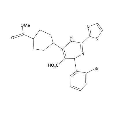 COC(=O)C1CCC(C2=C(C(=O)O)C(c3ccccc3Br)N=C(c3nccs3)N2)CC1